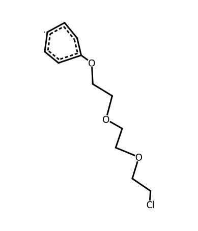 ClCCOCCOCCOc1cc[c]cc1